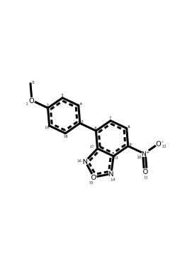 COc1ccc(-c2ccc([N+](=O)[O-])c3nonc23)cc1